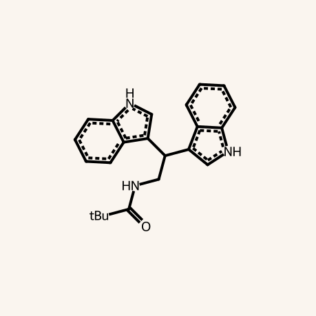 CC(C)(C)C(=O)NCC(c1c[nH]c2ccccc12)c1c[nH]c2ccccc12